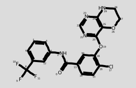 O=C(Nc1cccc(C(F)(F)F)c1)c1ccc(Cl)c(Oc2ncnc3c2OCCN3)c1